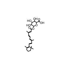 CC(C=CC1=C(C)CCCC1(C)C)=CC=CC(C)=CC(=O)OC1OC(C(=O)O)C(O)C(O)C1O